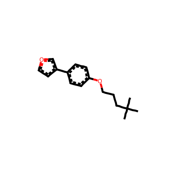 CC(C)(C)CCCOc1ccc(-c2ccoc2)cc1